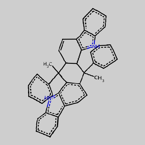 CC1(c2ccccc2)c2c(ccc3c2[nH]c2ccccc23)C(C)(c2ccccc2)C2c3[nH]c4ccccc4c3C=CC21